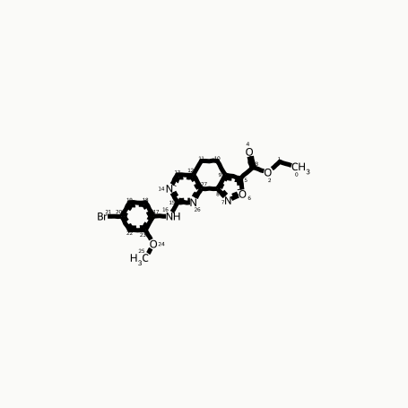 CCOC(=O)c1onc2c1CCc1cnc(Nc3ccc(Br)cc3OC)nc1-2